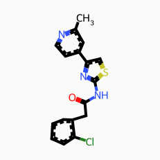 Cc1cc(-c2csc(NC(=O)Cc3ccccc3Cl)n2)ccn1